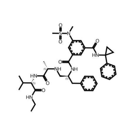 CCNC(=O)[C@@H](NC(=O)[C@H](C)NC[C@H](Cc1ccccc1)NC(=O)c1cc(C(=O)NC2(c3ccccc3)CC2)cc(N(C)S(C)(=O)=O)c1)C(C)C